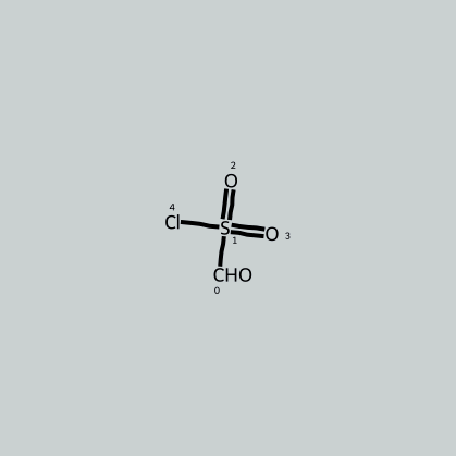 O=CS(=O)(=O)Cl